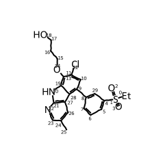 CCS(=O)(=O)c1cccc(-c2cc(Cl)c(OCCCO)c3[nH]c4ncc(C)cc4c23)c1